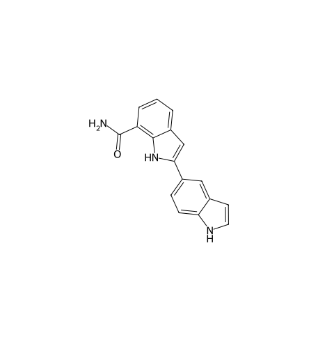 NC(=O)c1cccc2cc(-c3ccc4[nH]ccc4c3)[nH]c12